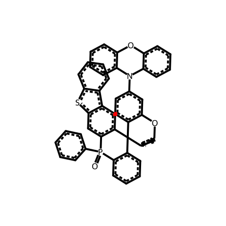 O=P1(c2ccccc2)c2ccccc2C2(c3ccccc3Oc3cc(N4c5ccccc5Oc5ccccc54)ccc32)c2cc3c(cc21)sc1ccccc13